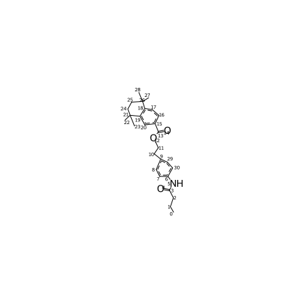 CCCC(=O)Nc1ccc(CCOC(=O)c2ccc3c(c2)C(C)(C)CCC3(C)C)cc1